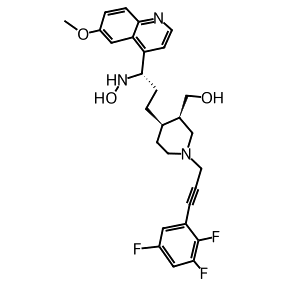 COc1ccc2nccc([C@H](CC[C@@H]3CCN(CC#Cc4cc(F)cc(F)c4F)C[C@@H]3CO)NO)c2c1